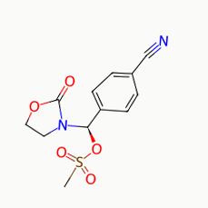 CS(=O)(=O)O[C@H](c1ccc(C#N)cc1)N1CCOC1=O